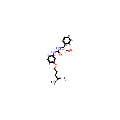 CC(C)CCCOc1cccc(NC(=O)N[C@@H](CO)c2ccccc2)c1